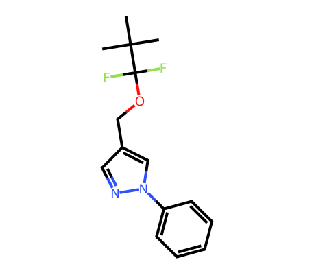 CC(C)(C)C(F)(F)OCc1cnn(-c2ccccc2)c1